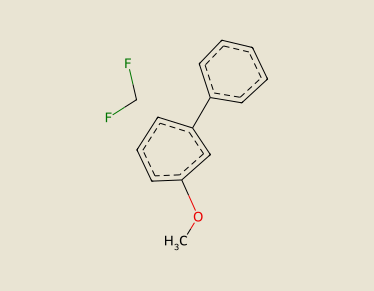 COc1cccc(-c2ccccc2)c1.FCF